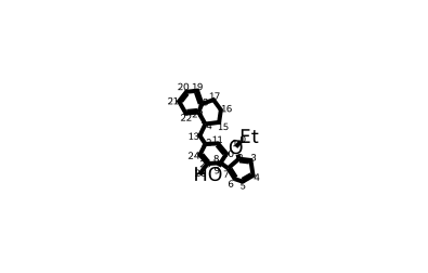 CCOc1ccccc1C1(O)C=CC(CC2CCCc3ccccc32)C=C1C